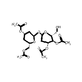 CC(=O)OC[C@@H]1C[C@H](OC(C)=O)CC(O[C@@H]2C[C@@H](OC(C)=O)[C@H](OC(C)=O)[C@@H](CO)O2)O1